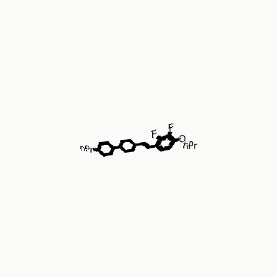 CCCOc1ccc(/C=C/C2CCC(C3CCC(CCC)CC3)CC2)c(F)c1F